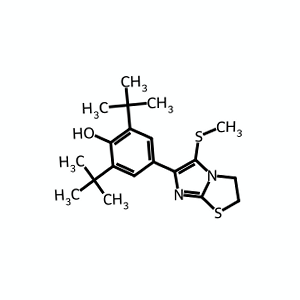 CSc1c(-c2cc(C(C)(C)C)c(O)c(C(C)(C)C)c2)nc2n1CCS2